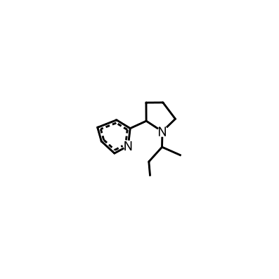 CCC(C)N1CCCC1c1ccccn1